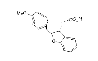 COc1ccc([C@@H]2Oc3ccccc3[C@H]2CC(=O)O)cc1